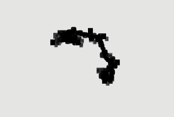 C=c1cc2c(cc1C)=C(c1cc(C(=O)NCCOCCOCCNC(=O)OCCC(C)(C)SSCOCCCCOC(=O)NCC#Cc3cn(C4C[C@H](OCSSCC)[C@@H](COP(=O)(O)OP(=O)(O)OP(=O)(O)O)O4)c(=O)[nH]c3=O)ccc1C(=O)O)c1cc(C)c(NCC)cc1O2